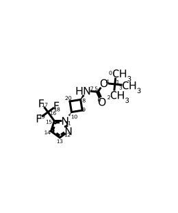 CC(C)(C)OC(=O)N[C@H]1C[C@H](n2nccc2C(F)(F)F)C1